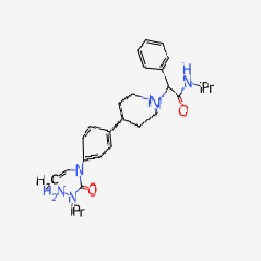 C=CN(C(=O)N(N)C(C)C)c1ccc(C2CCN(C(C(=O)NC(C)C)c3ccccc3)CC2)cc1